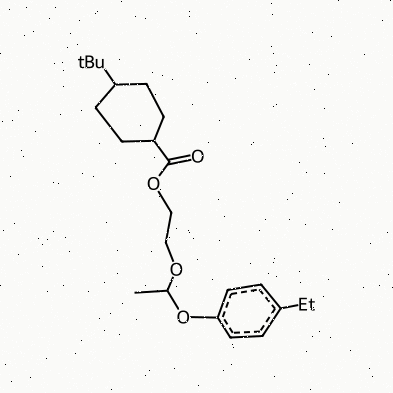 CCc1ccc(OC(C)OCCOC(=O)C2CCC(C(C)(C)C)CC2)cc1